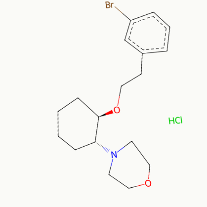 Brc1cccc(CCO[C@@H]2CCCC[C@H]2N2CCOCC2)c1.Cl